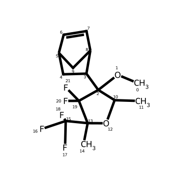 COC1(C2CC3C=CC2C3)C(C)OC(C)(C(F)(F)F)C1(F)F